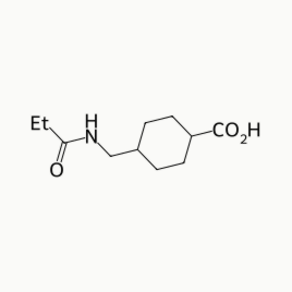 CCC(=O)NCC1CCC(C(=O)O)CC1